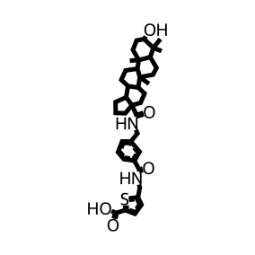 CC1(C)C(O)CCC2(C)C1CCC1(C)C3CCC4(C(=O)NCc5cccc(C(=O)NCc6ccc(C(=O)O)s6)c5)CCCC4C3CCC12